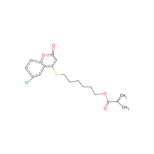 C=C(C)C(=O)OCCCCCCSc1cc(=O)oc2ccc(Cl)cc12